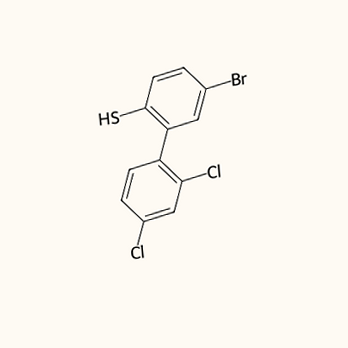 Sc1ccc(Br)cc1-c1ccc(Cl)cc1Cl